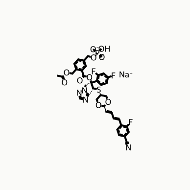 CC(=O)OCc1ccc(COP(=O)([O-])O)cc1C(=O)O[C@@](Cn1cncn1)(c1ccc(F)cc1F)[C@@H](C)S[C@H]1CO[C@H](/C=C/C=C/c2ccc(C#N)cc2F)OC1.[Na+]